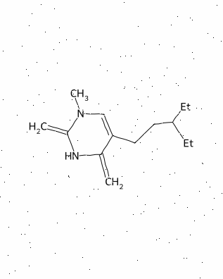 C=C1NC(=C)N(C)C=C1CCC(CC)CC